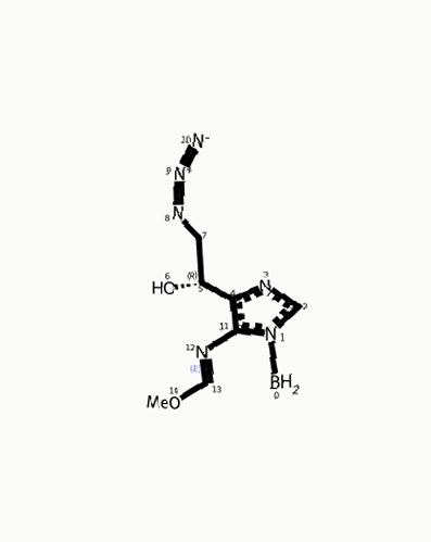 Bn1cnc([C@H](O)CN=[N+]=[N-])c1/N=C/OC